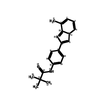 Cc1cccn2cc(-c3ccc(NC(=O)C(C)(C)C)cc3)nc12